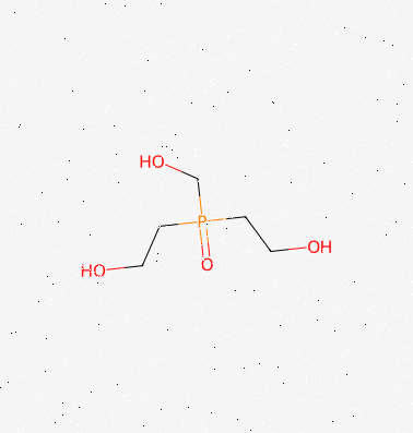 O=P(CO)(CCO)CCO